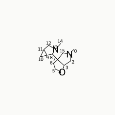 CN1CC2OCCC2(C2C3CC3CN2C)C1